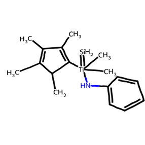 CC1=C(C)C(C)[C]([Ti]([CH3])([CH3])(=[SiH2])[NH]c2ccccc2)=C1C